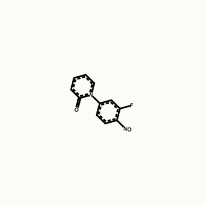 O=Nc1ccc(-n2ccccc2=O)cc1F